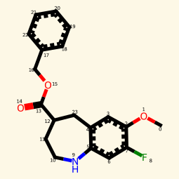 COc1cc2c(cc1F)NCCC(C(=O)OCc1ccccc1)C2